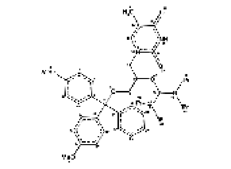 COc1ccc(C(OCC(Cn2cc(C)c(=O)[nH]c2=O)OP(N(C(C)C)C(C)C)N(C(C)C)C(C)C)(c2ccccc2)c2ccc(OC)cc2)cc1